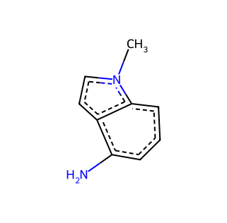 Cn1ccc2c(N)cccc21